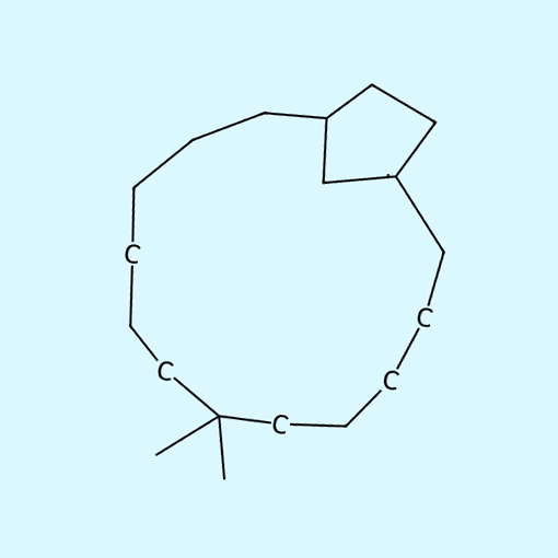 CC1(C)CCCCCCC2CC[C](CCCCC1)C2